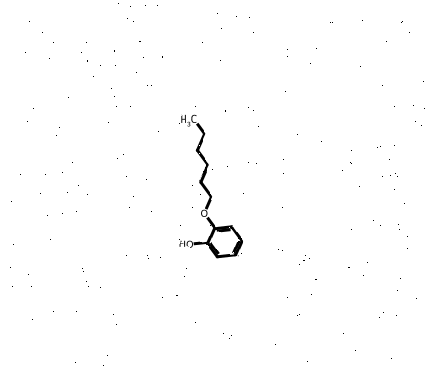 CCCCCCOc1cc[c]cc1O